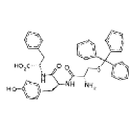 N[C@@H](CSC(c1ccccc1)(c1ccccc1)c1ccccc1)C(=O)N[C@@H](Cc1ccc(O)cc1)C(=O)N[C@@H](Cc1ccccc1)C(=O)O